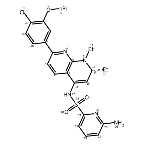 CCCOc1cc(-c2ccc3c(n2)N(CC)[C@H](CC)C=C3NS(=O)(=O)c2cccc(N)n2)ccc1Cl